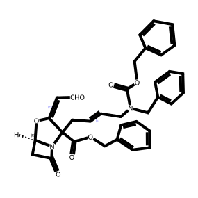 O=C/C=C1/O[C@@H]2CC(=O)N2C1(C/C=C/CN(Cc1ccccc1)C(=O)OCc1ccccc1)C(=O)OCc1ccccc1